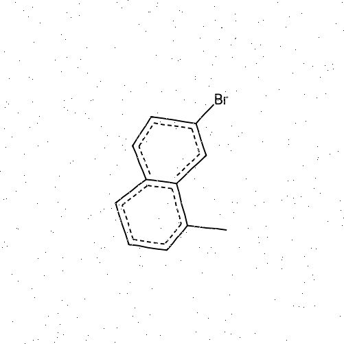 Cc1cccc2ccc(Br)cc12